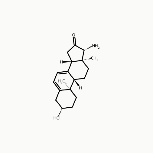 C[C@]12CC[C@H]3C(=CC=C4C[C@@H](O)CC[C@@]43C)[C@@H]1CC(=O)[C@@H]2N